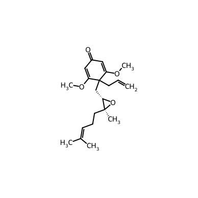 C=CCC1(C[C@@H]2O[C@@]2(C)CCC=C(C)C)C(OC)=CC(=O)C=C1OC